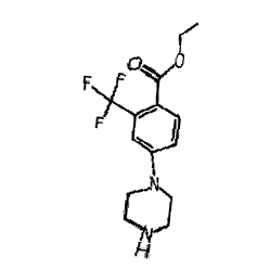 CCOC(=O)c1ccc(N2CCNCC2)cc1C(F)(F)F